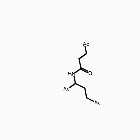 CC(=O)CCC(=O)NC(CCC(C)=O)C(C)=O